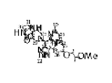 COCCOc1cccc(-c2nn(C)nc2C(c2nc(C)cc(C)n2)N2CCC3(CC2)NCCNC3=O)c1